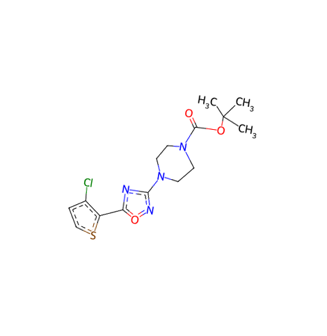 CC(C)(C)OC(=O)N1CCN(c2noc(-c3sccc3Cl)n2)CC1